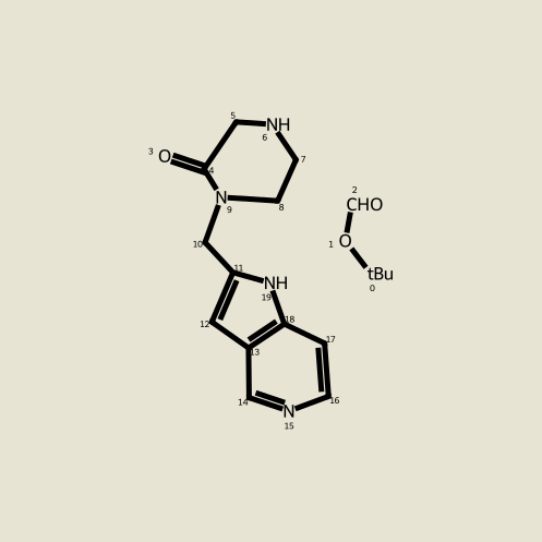 CC(C)(C)OC=O.O=C1CNCCN1Cc1cc2cnccc2[nH]1